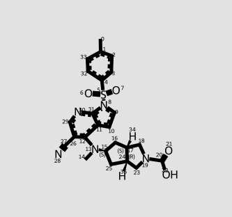 Cc1ccc(S(=O)(=O)n2ccc3c(N(C)[C@H]4C[C@@H]5CN(C(=O)O)C[C@@H]5C4)c(C#N)cnc32)cc1